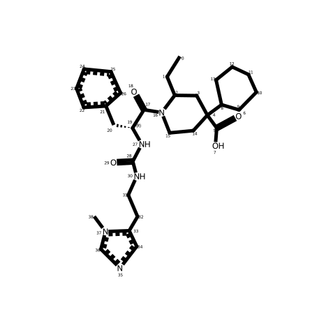 CCC1CC(C(=O)O)(C2CCCCC2)CCN1C(=O)[C@@H](Cc1ccccc1)NC(=O)NCCc1cncn1C